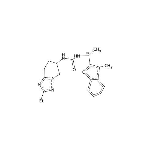 CCc1nc2n(n1)CC(NC(=O)N[C@H](C)c1oc3ccccc3c1C)CC2